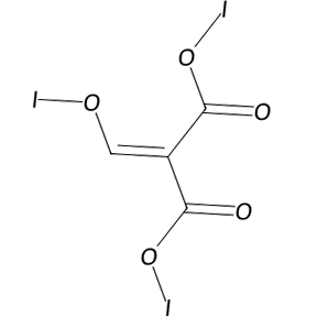 O=C(OI)C(=COI)C(=O)OI